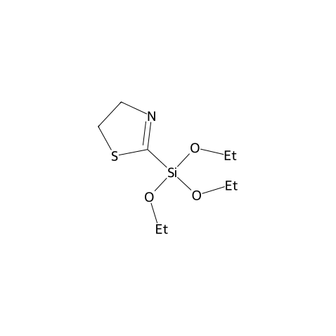 CCO[Si](OCC)(OCC)C1=NCCS1